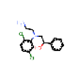 NCCN(CC(O)c1ccccc1)c1cc(Cl)ccc1Cl